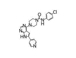 O=C(Nc1ccc(Cl)cc1)N1CCN(c2ncnc3[nH]c(-c4ccncc4)cc23)CC1